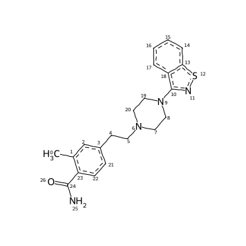 Cc1cc(CCN2CCN(c3nsc4ccccc34)CC2)ccc1C(N)=O